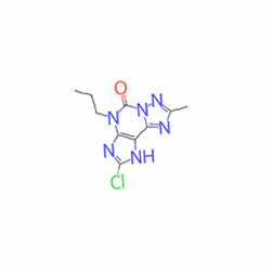 CCCn1c(=O)n2nc(C)nc2c2[nH]c(Cl)nc21